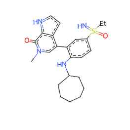 CCS(=N)(=O)c1ccc(NC2CCCCCC2)c(-c2cn(C)c(=O)c3[nH]ccc23)c1